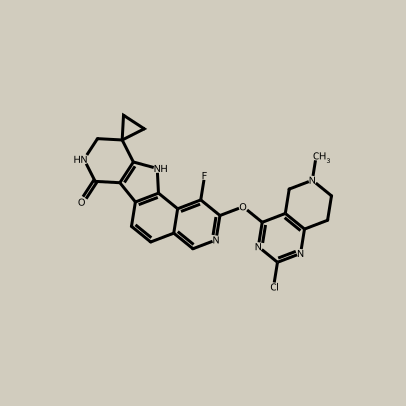 CN1CCc2nc(Cl)nc(Oc3ncc4ccc5c6c([nH]c5c4c3F)C3(CC3)CNC6=O)c2C1